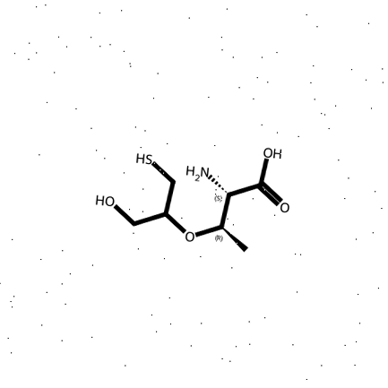 C[C@@H](OC(CO)CS)[C@H](N)C(=O)O